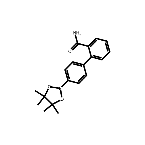 CC1(C)OB(c2ccc(-c3ccccc3C(N)=O)cc2)OC1(C)C